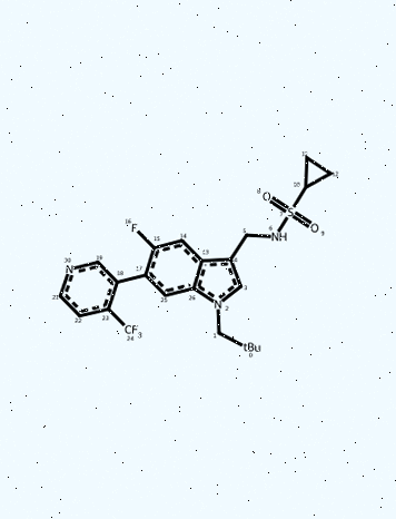 CC(C)(C)Cn1cc(CNS(=O)(=O)C2CC2)c2cc(F)c(-c3cnccc3C(F)(F)F)cc21